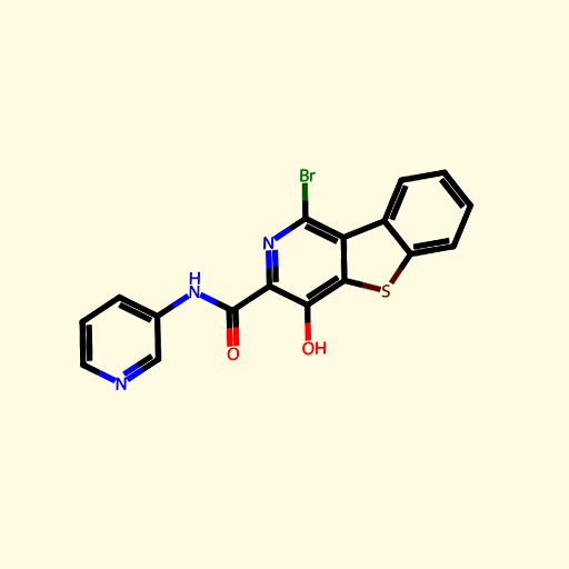 O=C(Nc1cccnc1)c1nc(Br)c2c(sc3ccccc32)c1O